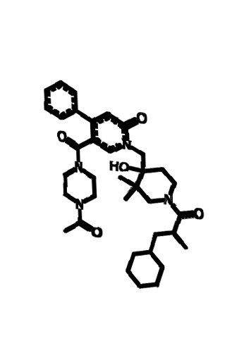 CC(=O)N1CCN(C(=O)c2cn(CC3(O)CCN(C(=O)C(C)CC4CCCCC4)CC3(C)C)c(=O)cc2-c2ccccc2)CC1